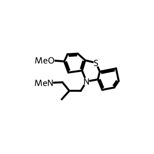 CNCC(C)CN1c2ccccc2Sc2ccc(OC)cc21